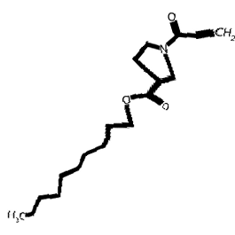 C=CC(=O)N1CCC(C(=O)OCCCCCCCCCC)C1